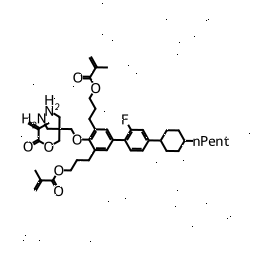 C=C(C)C(=O)OCCCc1cc(-c2ccc(C3CCC(CCCCC)CC3)cc2F)cc(CCCOC(=O)C(=C)C)c1OCC(CN)(CN)COC(=O)C(=C)C